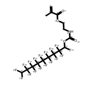 C=C(C)C(=O)OCCNC(=O)OC(F)C(F)(F)C(F)(F)C(F)(F)C(F)(F)C(F)(F)C(F)(F)C(F)(F)C(F)F